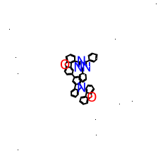 C1=CCC(c2nc(-c3ccccc3)nc(-c3cccc4oc5ccc(-c6ccc7c(c6)c6ccccc6n7-c6cccc7oc8ccccc8c67)cc5c34)n2)C=C1